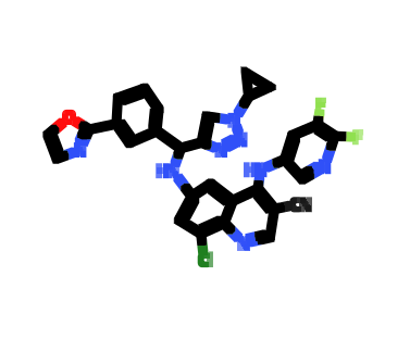 N#Cc1cnc2c(Cl)cc(NC(c3cccc(-c4ncco4)c3)c3cn(C4CC4)nn3)cc2c1Nc1cnc(F)c(F)c1